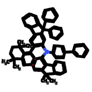 CC1(C)CCC(C)(C)c2c(-c3cc4c(cc3N(c3ccc(-c5ccccc5)cc3)c3cccc5c3-c3ccccc3C5(C)C)C(c3ccccc3)(c3ccccc3)c3ccccc3-4)cccc21